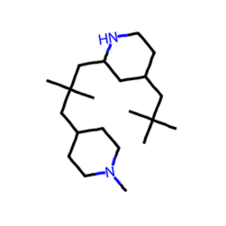 CN1CCC(CC(C)(C)CC2CC(CC(C)(C)C)CCN2)CC1